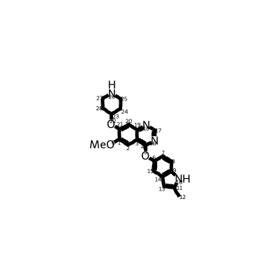 COc1cc2c(Oc3ccc4[nH]c(C)cc4c3)ncnc2cc1OC1CCNCC1